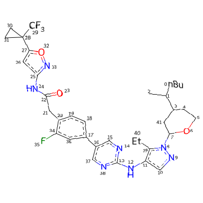 CCCCC(C)C1CCOC(n2ncc(Nc3ncc(-c4ccc(CC(=O)Nc5cc(C6(C(F)(F)F)CC6)on5)c(F)c4)cn3)c2CC)C1